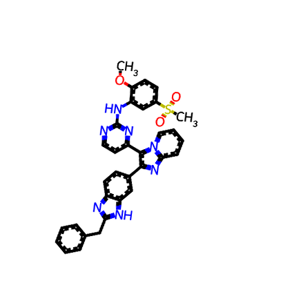 COc1ccc(S(C)(=O)=O)cc1Nc1nccc(-c2c(-c3ccc4nc(Cc5ccccc5)[nH]c4c3)nc3ccccn23)n1